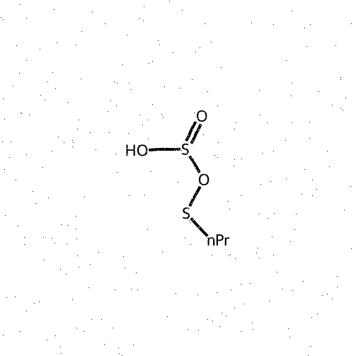 CCCSOS(=O)O